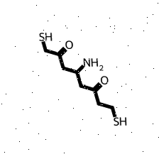 NC(CC(=O)CS)CC(=O)CCS